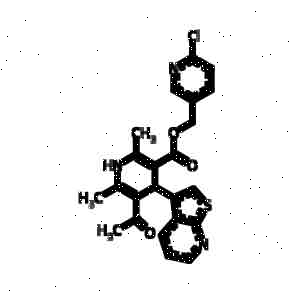 CC(=O)C1=C(C)NC(C)=C(C(=O)OCc2ccc(Cl)nc2)C1c1csc2ncccc12